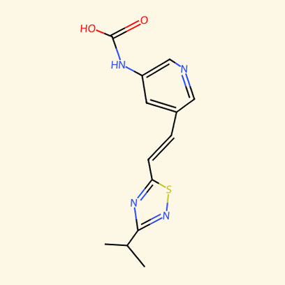 CC(C)c1nsc(C=Cc2cncc(NC(=O)O)c2)n1